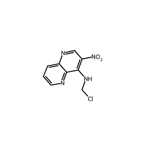 O=[N+]([O-])c1cnc2cccnc2c1NCCl